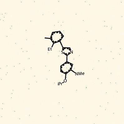 CCc1c(C)cccc1-c1cnc(-c2ccc(OC(C)C)c(NC)c2)s1